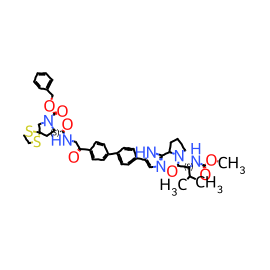 COC(=O)N[C@H](C(=O)N1CCCC1c1ncc(-c2ccc(-c3ccc(C(=O)CNC(=O)[C@@H]4CC5(CN4C(=O)OCc4ccccc4)SCCS5)cc3)cc2)[nH]1)C(C)C